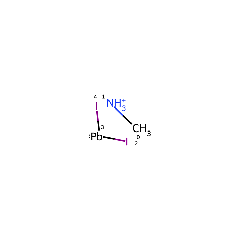 C[NH3+].[I][Pb][I]